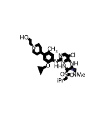 CN/C=C(/Nc1nc(Nc2cc(C)c(C3CCN(CCO)CC3)cc2OC2CC2)ncc1Cl)C(=N)S(=O)(=O)CC(C)C